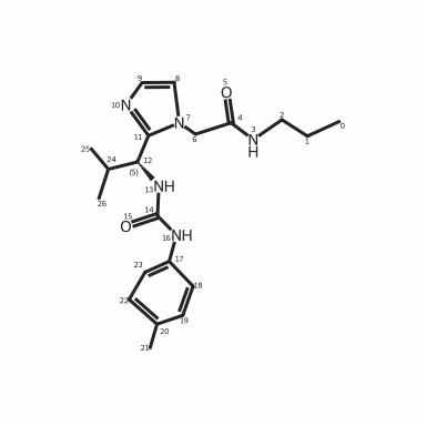 CCCNC(=O)Cn1ccnc1[C@@H](NC(=O)Nc1ccc(C)cc1)C(C)C